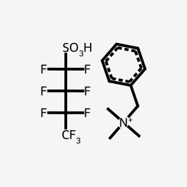 C[N+](C)(C)Cc1ccccc1.O=S(=O)(O)C(F)(F)C(F)(F)C(F)(F)C(F)(F)F